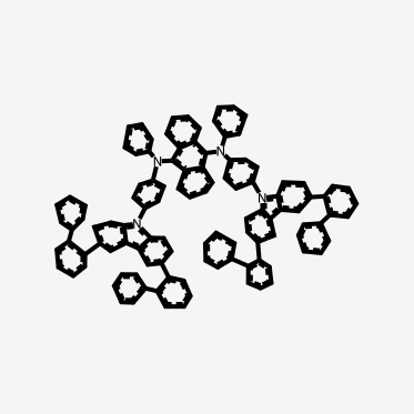 c1ccc(-c2ccccc2-c2ccc3c(c2)c2cc(-c4ccccc4-c4ccccc4)ccc2n3-c2ccc(N(c3ccccc3)c3c4ccccc4c(N(c4ccccc4)c4ccc(-n5c6ccc(-c7ccccc7-c7ccccc7)cc6c6cc(-c7ccccc7-c7ccccc7)ccc65)cc4)c4ccccc34)cc2)cc1